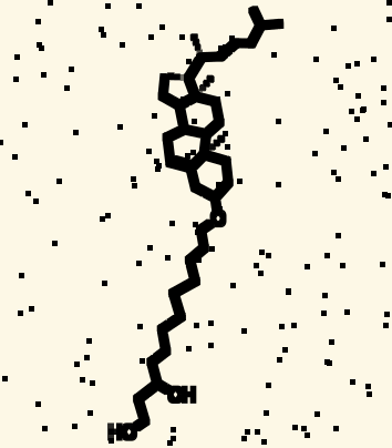 CC(C)CCC[C@@H](C)[C@H]1CCC2C3CC=C4CC(OCCCCCCCCCC(O)CCO)CC[C@]4(C)C3CC[C@@]21C